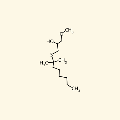 CCCCCCC(C)(C)SCC(O)COC